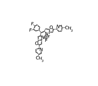 Cc1ccc(-c2cc3c(o2)=CC2=C(c4ccc(F)c(F)c4)c4cc5oc(-c6ccc(C)cn6)cc5n4[B-](F)(F)[N+]=32)nc1